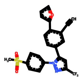 C#Cc1cc(-c2cc(C(F)(F)F)nn2-c2ccc(S(C)(=O)=O)cc2)ccc1-c1ccco1